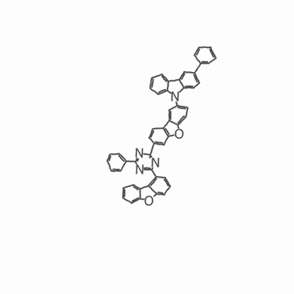 c1ccc(-c2ccc3c(c2)c2ccccc2n3-c2ccc3oc4cc(-c5nc(-c6ccccc6)nc(-c6cccc7oc8ccccc8c67)n5)ccc4c3c2)cc1